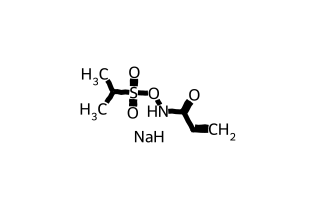 C=CC(=O)NOS(=O)(=O)C(C)C.[NaH]